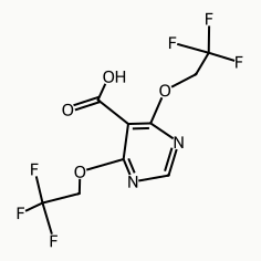 O=C(O)c1c(OCC(F)(F)F)ncnc1OCC(F)(F)F